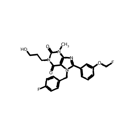 Cn1c(=O)n(CCCO)c(=O)c2c1nc(-c1cccc(OCF)c1)n2Cc1ccc(F)cc1